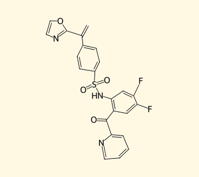 C=C(c1ccc(S(=O)(=O)Nc2cc(F)c(F)cc2C(=O)c2ccccn2)cc1)c1ncco1